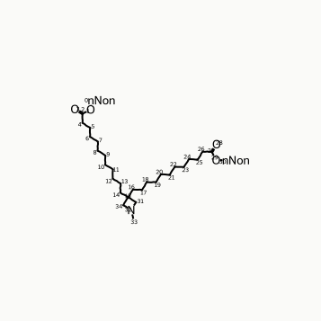 CCCCCCCCCOC(=O)CCCCCCCCCCCC1(CCCCCCCCCCCC(=O)OCCCCCCCCC)CN(C)C1